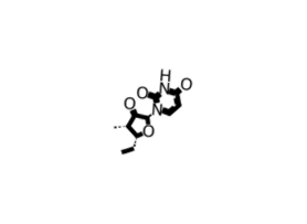 CC[C@H]1O[C@@H](n2ccc(=O)[nH]c2=O)C(=O)[C@H]1C